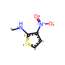 CNc1sccc1[N+](=O)[O-]